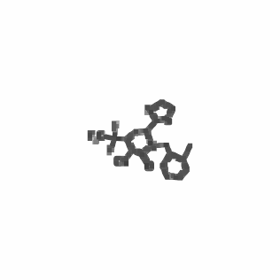 [C-]#[N+]c1c(C(F)(F)C(F)(F)F)cc(-c2nccs2)n(Cc2ccccc2C)c1=O